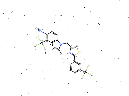 [C-]#[N+]c1ccc2c(cc(C)n2Cc2csc(-c3cccc(C(F)(F)F)c3)n2)c1C(F)(F)F